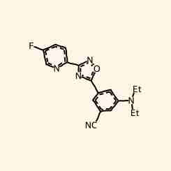 CCN(CC)c1cc(C#N)cc(-c2nc(-c3ccc(F)cn3)no2)c1